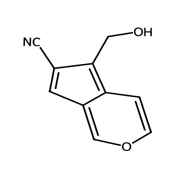 N#Cc1cc2coccc-2c1CO